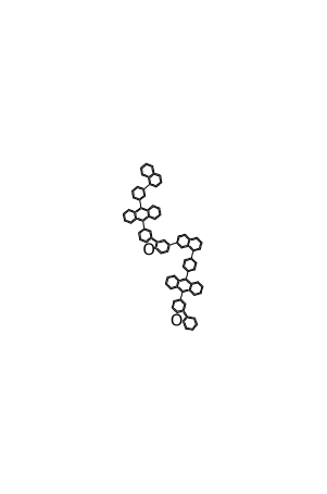 c1cc(-c2cccc3ccccc23)cc(-c2c3ccccc3c(-c3ccc4oc5ccc(-c6ccc7cccc(-c8ccc(-c9c%10ccccc%10c(-c%10ccc%11oc%12ccccc%12c%11c%10)c%10ccccc9%10)cc8)c7c6)cc5c4c3)c3ccccc23)c1